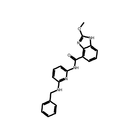 COc1nc2c(C(=O)Nc3cccc(NCc4ccccc4)n3)cccc2[nH]1